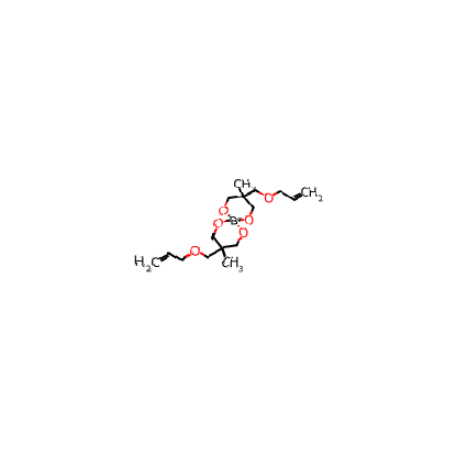 C=CCOCC1(C)CO[B-]2(OC1)OCC(C)(COCC=C)CO2